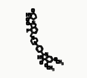 COc1cc(OC)c2c(=O)[nH]c(-c3ccc(N4CCN(Cc5ccc6c(c5F)C(=O)N(C5CCC(=O)NC5=O)C6)CC4)cc3)nc2c1